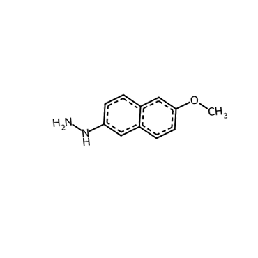 COc1ccc2cc(NN)ccc2c1